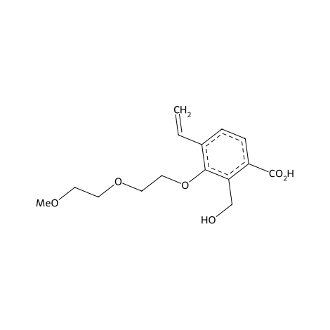 C=Cc1ccc(C(=O)O)c(CO)c1OCCOCCOC